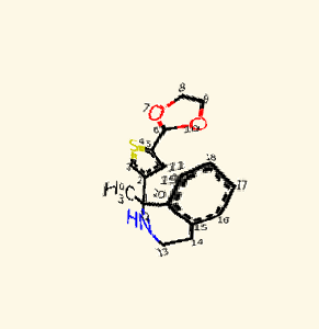 CC1(c2csc(C3OCCO3)c2)NCCc2ccccc21